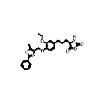 CCOc1cc(CCCC2NC(=O)OC2=O)ccc1OCc1nc(-c2ccccc2)oc1C